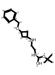 CC(C)(C)OC(O)NCCNC1CC(OCc2ccccc2)C1